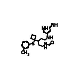 Cc1cccc(SC2(C(CCNC=O)CCN/C(C=N)=C/C=N)CCC2)c1